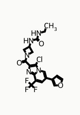 CCNC(=O)NC1CN(C(=O)c2nc3c(C(F)(F)F)cc(-c4ccoc4)cn3c2Cl)C1